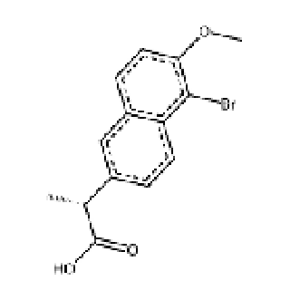 COc1ccc2cc([C@@H](C)C(=O)O)ccc2c1Br